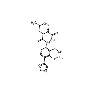 COc1c(-c2cnco2)ccc(NC(=O)C(CC(C)C)NC(=O)O)c1CO